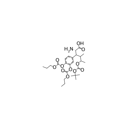 CCCOC(=O)Oc1ccc(C(C(C)C(C)OC(=O)OC(C)(C)C)[C@H](N)C(=O)O)cc1OC(=O)OCCC